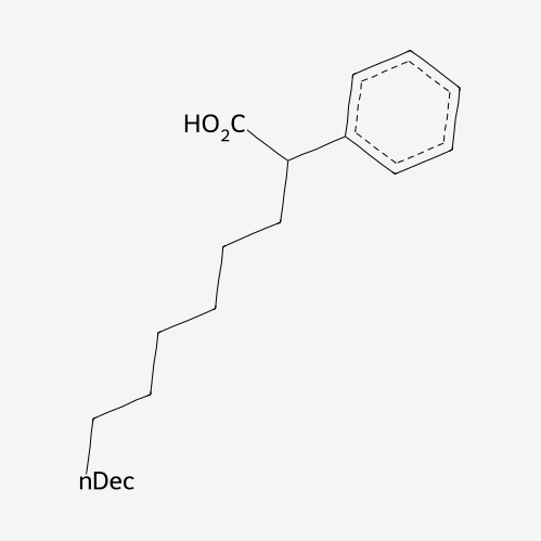 CCCCCCCCCCCCCCCCC(C(=O)O)c1ccccc1